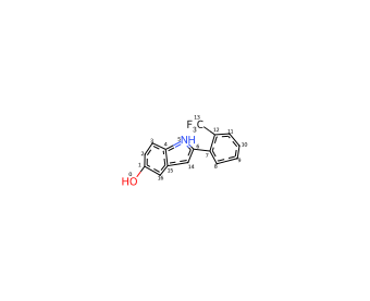 Oc1ccc2[nH]c(-c3ccccc3C(F)(F)F)cc2c1